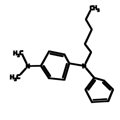 CCCCCN(c1ccccc1)c1ccc(N(C)C)cc1